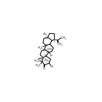 C=C(C)[C@@H]1CC[C@]2(C(C)=O)CC[C@]3(C)C(CC[C@@H]4[C@@]5(C)CC(CC)C(=O)C(C)(C)[C@@H]5CC[C@]43C)C12